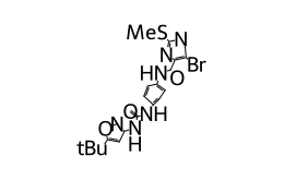 CSc1ncc(Br)c(C(=O)Nc2ccc(NC(=O)Nc3cc(C(C)(C)C)on3)cc2)n1